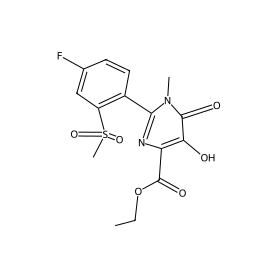 CCOC(=O)c1nc(-c2ccc(F)cc2S(C)(=O)=O)n(C)c(=O)c1O